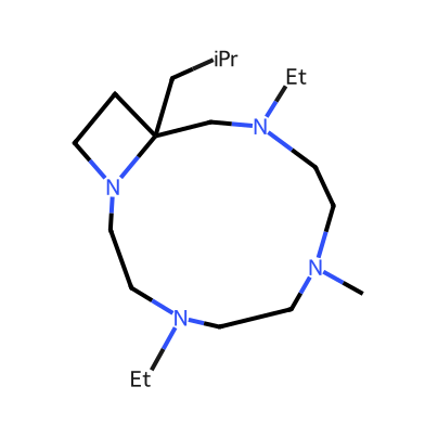 CCN1CCN(C)CCN(CC)CC2(CC(C)C)CCN2CC1